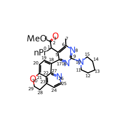 CCCC(C(=O)OC)c1c(C)nc(N2CCCCC2)nc1-c1ccc2c3c(ccnc13)CCO2